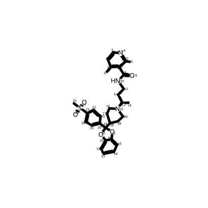 Cc1ccnc(C)c1C(=O)NCCC(C)N1CCC(C2(c3ccc(S(C)(=O)=O)cc3)Oc3ccccc3O2)CC1